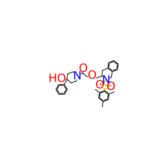 Cc1cc(C)c(S(=O)(=O)N2Cc3ccccc3CC2COCC(=O)N2CCC(O)(c3ccccc3)CC2)c(C)c1